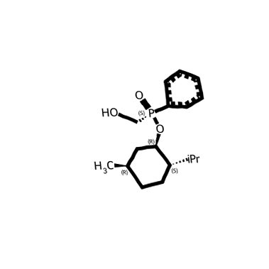 CC(C)[C@@H]1CC[C@@H](C)C[C@H]1O[P@](=O)(CO)c1ccccc1